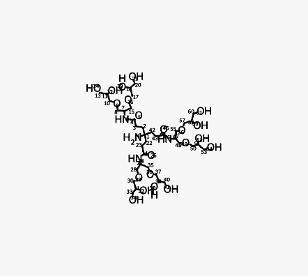 NC(CCC(=O)NC(COCC(O)CO)COCC(O)CO)(CCC(=O)NC(COCC(O)CO)COCC(O)CO)CCC(=O)NC(COCC(O)CO)COCC(O)CO